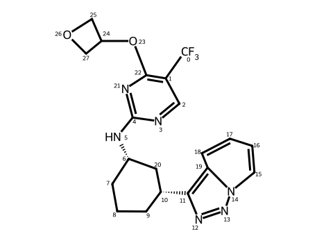 FC(F)(F)c1cnc(N[C@H]2CCC[C@@H](c3nnn4ccccc34)C2)nc1OC1COC1